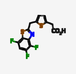 O=C(O)Cc1ccc(Cc2nc3c(F)c(F)cc(F)c3s2)s1